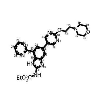 CCOC(=O)Nc1nc2cc(-c3cnc(OCCN4CCOCC4)nc3)cc(-c3ncccn3)c2[nH]1